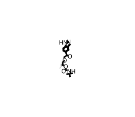 C[C@H](COCC(=O)c1ccc2[nH]ncc2c1)OC(=O)NC(C)(C)C